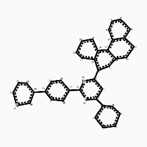 c1ccc(-c2cc(-c3cc4ccc5ccccc5c4c4ccccc34)nc(-c3ccc(-c4cccnc4)cc3)n2)cc1